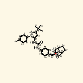 Cc1ccc(-n2nc(C(C)(C)C)cc2NC(=O)Nc2ccc(CC3CC4CCC(C3)N4S(C)(=O)=O)cc2)cc1